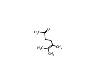 CC(=O)CCC(C)=C(C)C